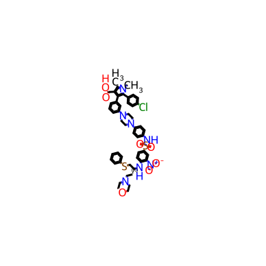 Cc1c(C(=O)O)c(-c2cccc(N3CCN(c4ccc(NS(=O)(=O)c5ccc(N[C@H](CCN6CCOCC6)CSc6ccccc6)c([N+](=O)[O-])c5)cc4)CC3)c2)c(-c2ccc(Cl)cc2)n1C